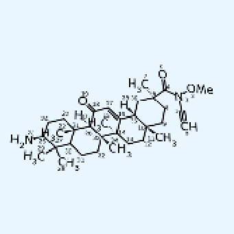 C#CN(OC)C(=O)[C@@]1(C)CC[C@]2(C)CC[C@]3(C)C(=CC(=O)[C@@H]4[C@@]5(C)CC[C@H](N)C(C)(C)C5CC[C@]43C)[C@@H]2C1